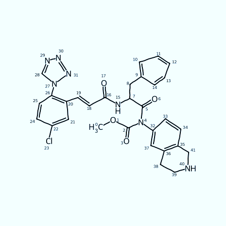 COC(=O)N(C(=O)C(Cc1ccccc1)NC(=O)C=Cc1cc(Cl)ccc1-n1cnnn1)c1ccc2c(c1)CCNC2